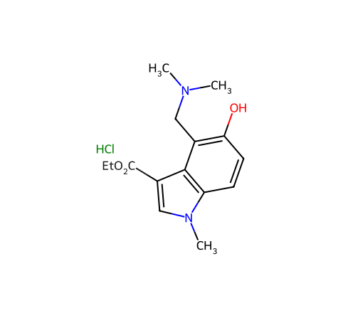 CCOC(=O)c1cn(C)c2ccc(O)c(CN(C)C)c12.Cl